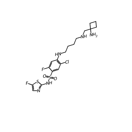 NC1(CNCCCCNc2cc(F)c(S(=O)(=O)Nc3ncc(F)s3)cc2Cl)CCC1